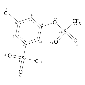 O=S(=O)(Cl)c1cc(Cl)cc(OS(=O)(=O)C(F)(F)F)c1